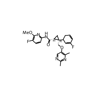 COc1nc(NC(=O)[C@@H]2C[C@@]2(COc2cnc(C)nc2C)C2C=C(F)C=CC2)ccc1F